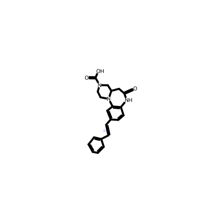 O=C1CC2CN(C(=O)O)CCN2c2cc(/C=C/c3ccccc3)ccc2N1